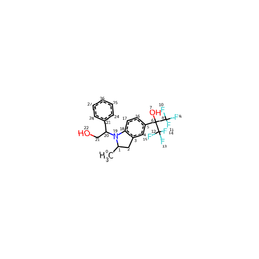 CC1Cc2cc(C(O)(C(F)(F)F)C(F)(F)F)ccc2N1C(CO)c1ccccc1